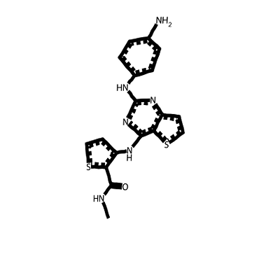 CNC(=O)c1sccc1Nc1nc(Nc2ccc(N)cc2)nc2ccsc12